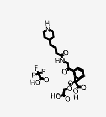 O=C(O)C(F)(F)F.O=C(O)COOC1(C(=O)O)c2cccc(C(=O)CNC(=O)CCCC3CCNCC3)c21